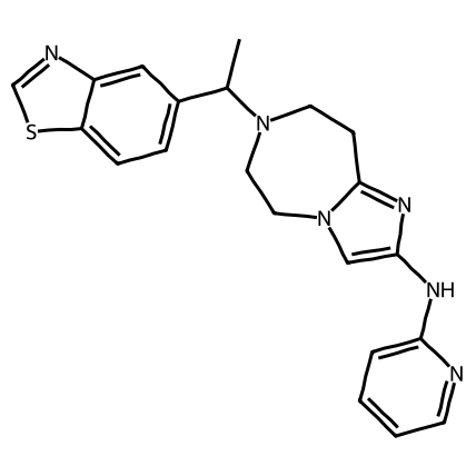 CC(c1ccc2scnc2c1)N1CCc2nc(Nc3ccccn3)cn2CC1